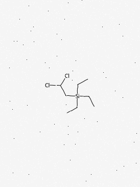 CC[Si](CC)(CC)CC(Cl)Cl